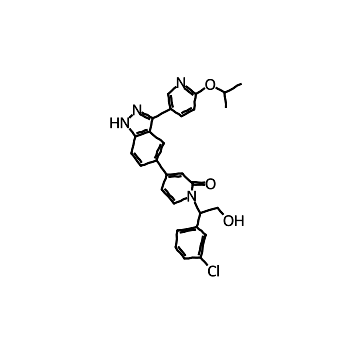 CC(C)Oc1ccc(-c2n[nH]c3ccc(-c4ccn(C(CO)c5cccc(Cl)c5)c(=O)c4)cc23)cn1